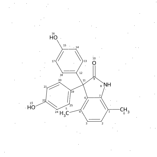 Cc1ccc(C)c2c1NC(=O)C2(c1ccc(O)cc1)c1ccc(O)cc1